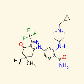 CC1(C)CC(=O)c2c(C(F)(F)F)nn(-c3ccc(C(N)=O)c(NC4CCN(CC5CC5)CC4)c3)c2C1